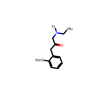 CCN(CC(=O)Cc1ccccc1OC)CC(C)(C)C